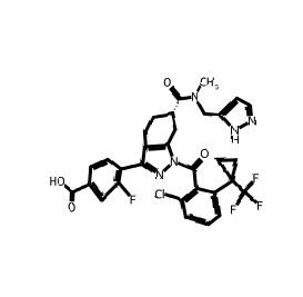 CN(Cc1ccn[nH]1)C(=O)[C@H]1CCc2c(-c3ccc(C(=O)O)cc3F)nn(C(=O)c3c(Cl)cccc3C3(C(F)(F)F)CC3)c2C1